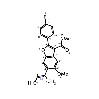 C/C=C(\C)c1cc2oc(-c3ccc(F)cc3)c(C(=O)NC)c2cc1OC